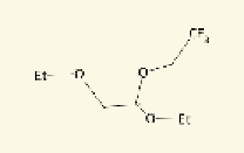 CCOC[C](OCC)OCC(F)(F)F